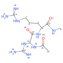 CNC(=O)C(CCCNC(=N)N)NC(=O)C(NC(=N)N)NC(C)=O